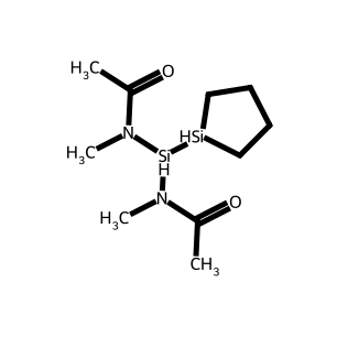 CC(=O)N(C)[SiH](N(C)C(C)=O)[SiH]1CCCC1